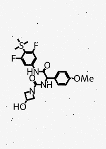 COc1ccc(C(NC(=O)N2CC(O)C2)C(=O)Nc2cc(F)c(S(C)(C)C)c(F)c2)cc1